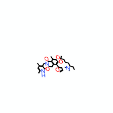 CCC(CCCC1(C)Oc2c(C)c3c(c(-c4ccco4)c2O1)CCN(Cc1c(C)cc(C)[nH]c1=O)C3=O)N(C)C